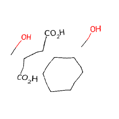 C1CCCCC1.CO.CO.O=C(O)CCC(=O)O